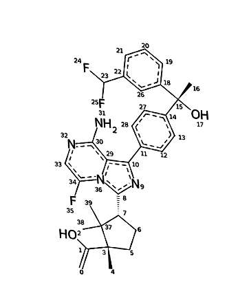 C=C(O)[C@@]1(C)CC[C@@H](c2nc(-c3ccc([C@@](C)(O)c4cccc(C(F)F)c4)cc3)c3c(N)ncc(F)n23)C1(C)C